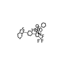 O=S(=O)(Nn1nc(C(F)(F)F)cc1-c1ccc(-c2scc3ccccc23)cc1)c1ccccc1